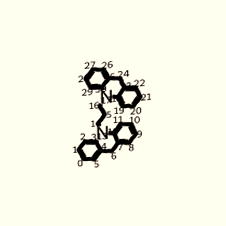 c1ccc2c(c1)Cc1ccccc1N2CCCN1c2ccccc2Cc2ccccc21